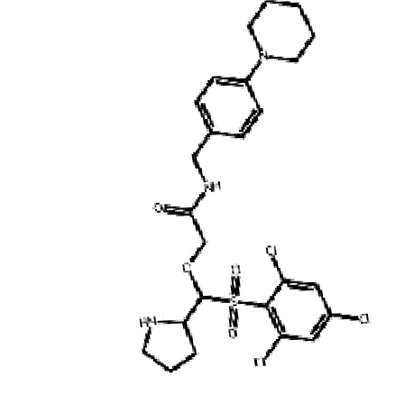 O=C(COC(C1CCCN1)S(=O)(=O)c1c(Cl)cc(Cl)cc1Cl)NCc1ccc(N2CCCCC2)cc1